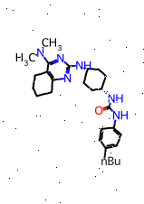 CCCCc1ccc(NC(=O)N[C@H]2CC[C@@H](Nc3nc4c(c(N(C)C)n3)CCCC4)CC2)cc1